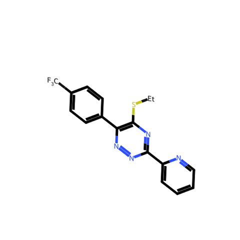 CCSc1nc(-c2ccccn2)nnc1-c1ccc(C(F)(F)F)cc1